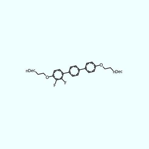 CCCCCCCCCCCCOc1ccc(-c2ccc(-c3ccc(OCCCCCCCCCCCC)c(F)c3F)cc2)cc1